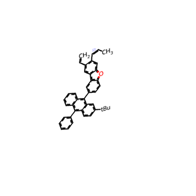 C=Cc1cc2c(cc1/C=C\C)oc1ccc(-c3c4ccccc4c(-c4ccccc4)c4ccc(C(C)(C)C)cc34)cc12